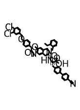 CCc1ccccc1CN1Cc2cc3c(cc2C[C@H]1C(=O)N[C@@H](Cc1ccc(-c2ccc(C#N)cc2)cc1)C(=O)O)N(C)C(=O)C(c1ccc(OCc2ccc(Cl)c(Cl)c2)cc1)O3